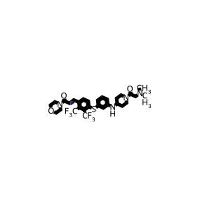 CN(C)CC(=O)N1CCC(Nc2cccc(Sc3ccc(/C=C/C(=O)N4CCOCC4)c(C(F)(F)F)c3C(F)(F)F)c2)CC1